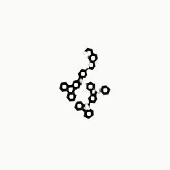 c1ccc(-n2c3ccc(-n4c5ccccc5c5ccccc54)cc3c3cc(-n4c5cc(-c6ccc7ccc8cccnc8c7n6)ccc5c5cc6c7ccccc7c7ccccc7c6cc54)ccc32)cc1